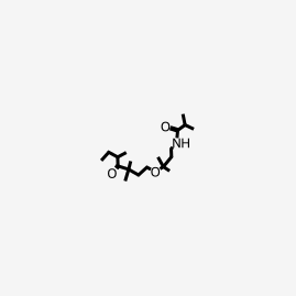 CCC(C)C(=O)C(C)(C)CCOC(C)(C)CCNC(=O)C(C)C